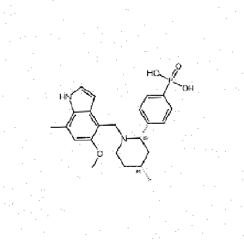 COc1cc(C)c2[nH]ccc2c1CN1CC[C@@H](C)C[C@H]1c1ccc(P(=O)(O)O)cc1